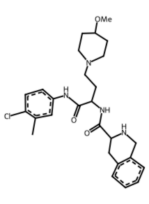 COC1CCN(CCC(NC(=O)C2Cc3ccccc3CN2)C(=O)Nc2ccc(Cl)c(C)c2)CC1